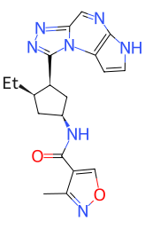 CC[C@@H]1C[C@H](NC(=O)c2conc2C)C[C@@H]1c1nnc2cnc3[nH]ccc3n12